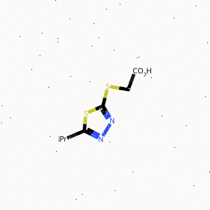 CC(C)c1nnc(SCC(=O)O)s1